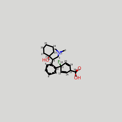 CN(C)CC(c1ccccc1C1(F)C=CC(C(=O)O)C=C1)C1(O)CCCCC1